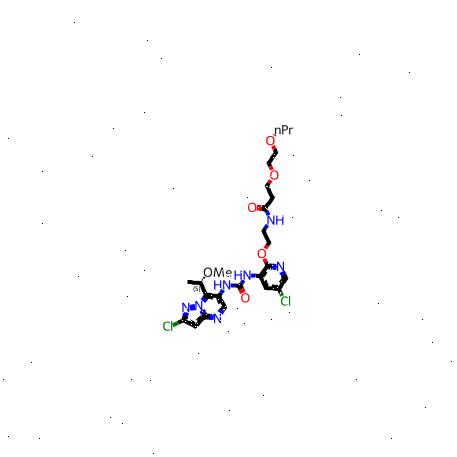 CCCOCCOCCC(=O)NCCOc1ncc(Cl)cc1NC(=O)Nc1cnc2cc(Cl)nn2c1[C@H](C)OC